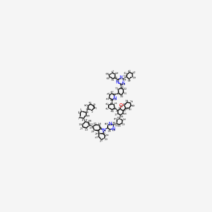 c1ccc(-c2cccc(-c3cccc(-c4ccc5c(c4)c4ccccc4n5-c4cnc(-c5cccc(-c6cc(-c7cccc(-c8cccc(-c9cccc(-c%10nc(-c%11ccccc%11)nc(-c%11ccccc%11)n%10)c9)n8)c7)c7oc8ccccc8c7c6)c5)nc4)c3)c2)cc1